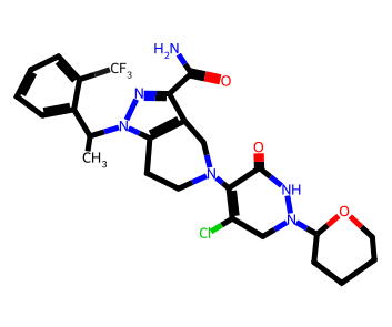 CC(c1ccccc1C(F)(F)F)n1nc(C(N)=O)c2c1CCN(C1=C(Cl)CN(C3CCCCO3)NC1=O)C2